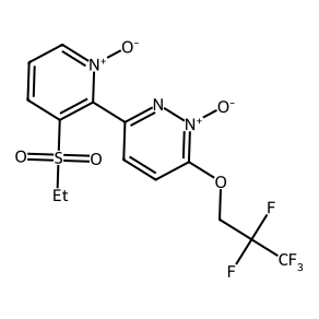 CCS(=O)(=O)c1ccc[n+]([O-])c1-c1ccc(OCC(F)(F)C(F)(F)F)[n+]([O-])n1